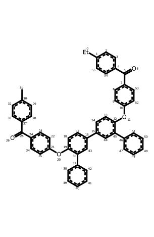 CCc1ccc(C(=O)c2ccc(Oc3ccc(-c4ccc(Oc5ccc(C(=O)c6ccc(C)cc6)cc5)c(-c5ccccc5)c4)cc3-c3ccccc3)cc2)cc1